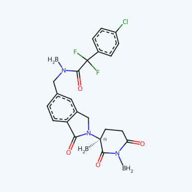 BN(Cc1ccc2c(c1)CN([C@@]1(B)CCC(=O)N(B)C1=O)C2=O)C(=O)C(F)(F)c1ccc(Cl)cc1